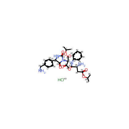 CC(=O)[C@](C(=O)OC(C)C)(N1C(=O)NC(c2ccc(CN)cc2)C1=O)N(C(=O)[C@@H](N)CC(=O)OC(C)C)c1ccccc1.Cl